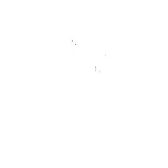 Cc1cc(C(=O)Nc2ccccc2)c2ccc(-c3ccc(C4CCCCC4)cc3)cc2n1